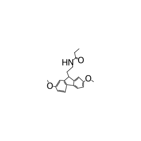 CCC(=O)NCCC1c2cc(OC)ccc2-c2ccc(OC)cc21